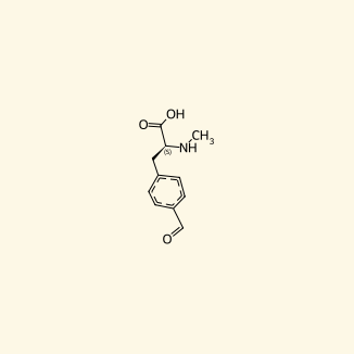 CN[C@@H](Cc1ccc(C=O)cc1)C(=O)O